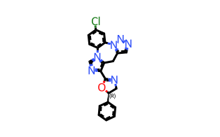 Clc1ccc2c(c1)-n1nncc1Cc1c(C3=NC[C@@H](c4ccccc4)O3)ncn1-2